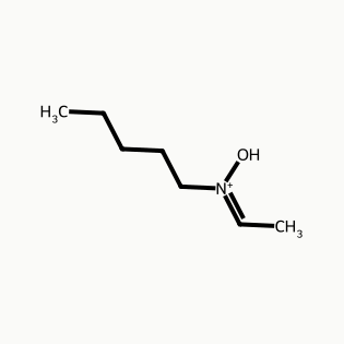 CC=[N+](O)CCCCC